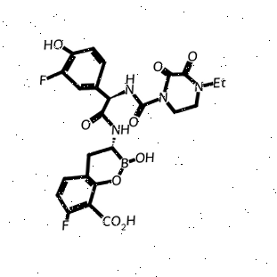 CCN1CCN(C(=O)N[C@@H](C(=O)N[C@H]2Cc3ccc(F)c(C(=O)O)c3OB2O)c2ccc(O)c(F)c2)C(=O)C1=O